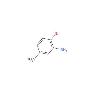 Nc1cc(S(=O)(=O)O)ccc1Br